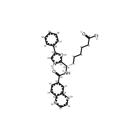 CCC(=O)CCCCC[C@H](NC(=O)c1ccc2nccnc2c1)c1ncc(-c2ccccc2)o1